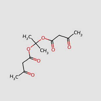 CC(=O)CC(=O)OC(C)(C)OC(=O)CC(C)=O